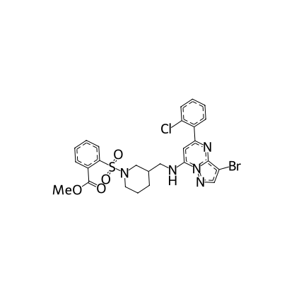 COC(=O)c1ccccc1S(=O)(=O)N1CCCC(CNc2cc(-c3ccccc3Cl)nc3c(Br)cnn23)C1